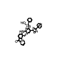 O=c1c2ccc(Nc3ncc(-c4nc(C56CCN(CC5)CC6)no4)c(N[C@H](CO)c4ccccc4)n3)c(F)c2n2n1CC=CC2